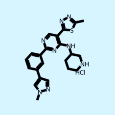 Cc1nnc(-c2cnc(-c3cccc(-c4cnn(C)c4)c3)nc2NC2CCCNC2)s1.Cl